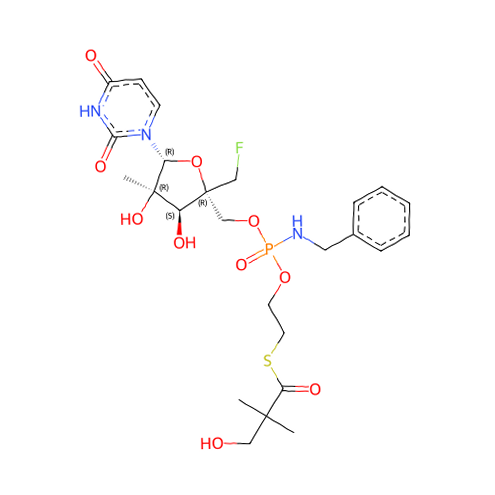 CC(C)(CO)C(=O)SCCOP(=O)(NCc1ccccc1)OC[C@@]1(CF)O[C@@H](n2ccc(=O)[nH]c2=O)[C@](C)(O)[C@@H]1O